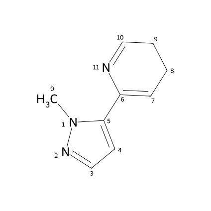 Cn1nccc1C1=CCCC=N1